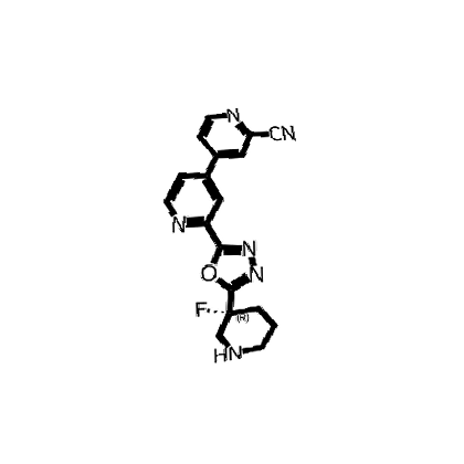 N#Cc1cc(-c2ccnc(-c3nnc([C@@]4(F)CCCNC4)o3)c2)ccn1